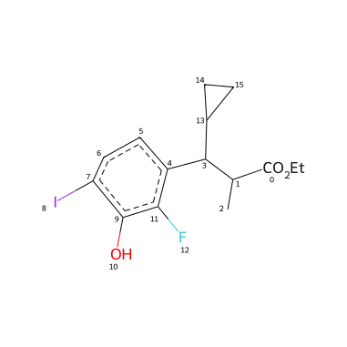 CCOC(=O)C(C)C(c1ccc(I)c(O)c1F)C1CC1